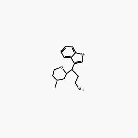 CN1CCOC(C(CCN)c2c[nH]c3ccccc23)C1